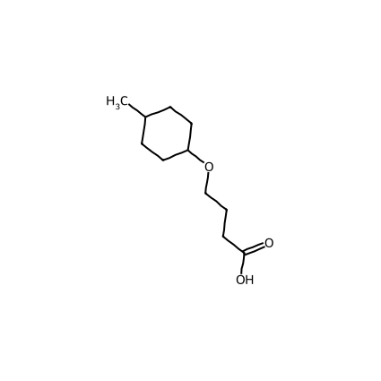 CC1CCC(OCCCC(=O)O)CC1